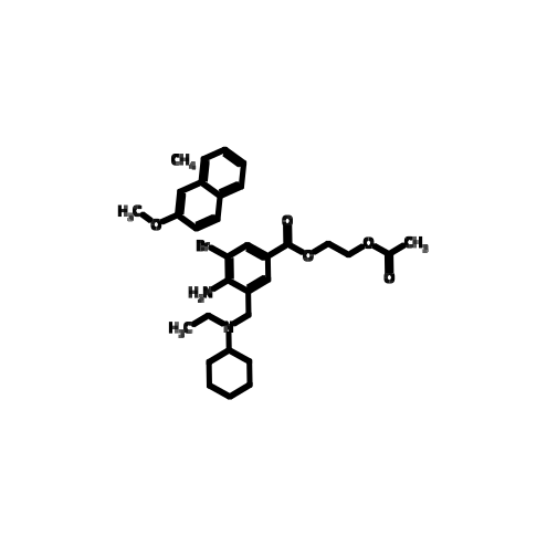 C.CCN(Cc1cc(C(=O)OCCOC(C)=O)cc(Br)c1N)C1CCCCC1.COc1ccc2ccccc2c1